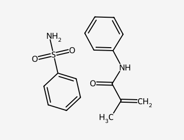 C=C(C)C(=O)Nc1ccccc1.NS(=O)(=O)c1ccccc1